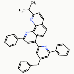 CC(C)c1ccc2ccc3c(-c4cc(Cc5ccccc5)cc(-c5ccccc5)n4)cc(-c4ccccc4)nc3c2n1